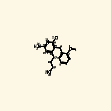 COc1ccccc1Cc1c(Cl)nc(N)nc1CCCO